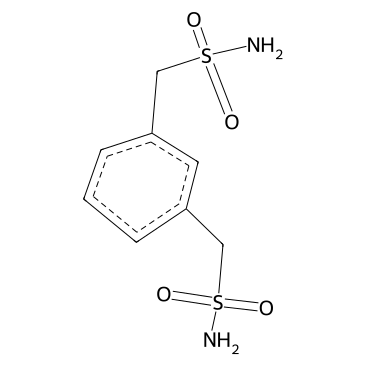 NS(=O)(=O)Cc1cccc(CS(N)(=O)=O)c1